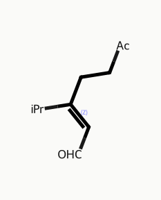 CC(=O)CC/C(=C/C=O)C(C)C